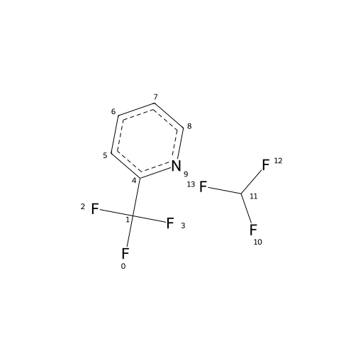 FC(F)(F)c1ccccn1.FC(F)F